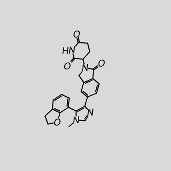 Cn1cnc(-c2ccc3c(c2)CN(C2CCC(=O)NC2=O)C3=O)c1-c1cccc2c1OCC2